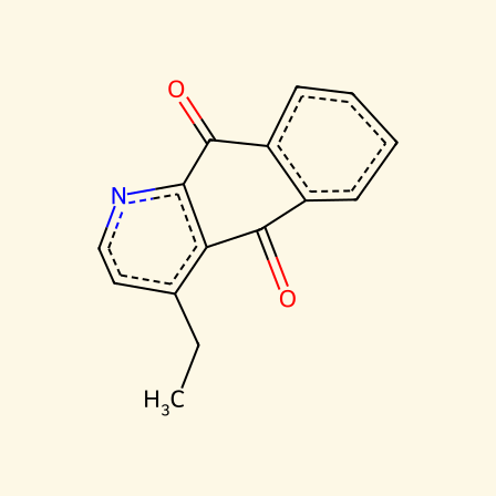 CCc1ccnc2c1C(=O)c1ccccc1C2=O